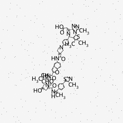 Cc1ncsc1-c1ccc([C@H](C)NC(=O)[C@@H]2C[C@@H](O)CN2C(=O)[C@@H](NC(=O)c2cc3cc(NC(=O)[C@@H]4CCN(c5ccc(C6=N[C@@H](CC(=O)O)c7nnc(C)n7-c7sc(C)c(C)c76)cc5)C4)ccc3o2)C(C)(C)C)cc1